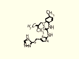 Cc1ccc(NC(=O)Nc2ncc(CSc3nnc[nH]3)s2)c(OCC(C)C)c1